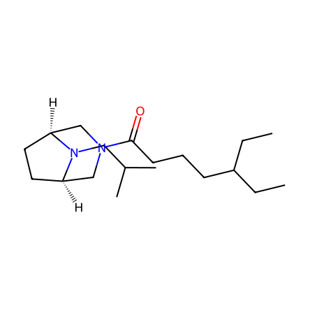 CCC(CC)CCCC(=O)N1C[C@H]2CC[C@@H](C1)N2CC(C)C